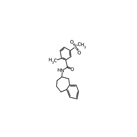 Cc1ccc(S(C)(=O)=O)cc1C(=O)NC1CCCc2ccccc2C1